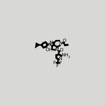 C=CC(=O)N1CCc2nn(-c3ccc(C4CC4)cc3O)c3c2[C@H](C1)N(C(=O)c1ccc(C(F)(F)F)nc1N)CC3